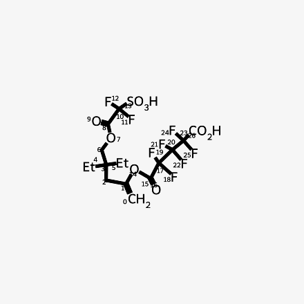 C=C(CC(CC)(CC)COC(=O)C(F)(F)S(=O)(=O)O)OC(=O)C(F)(F)C(F)(F)C(F)(F)C(=O)O